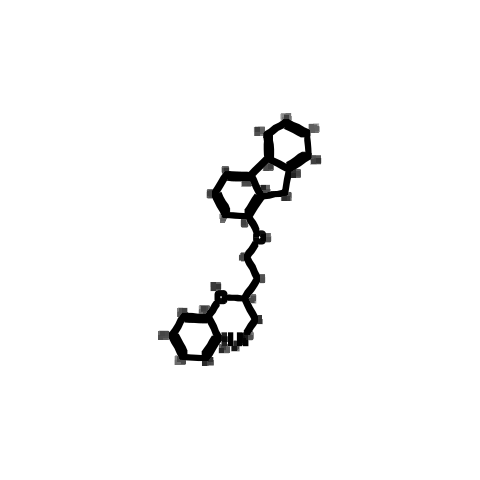 NCC(CCOc1cccc2c1Cc1ccccc1-2)Oc1ccccc1